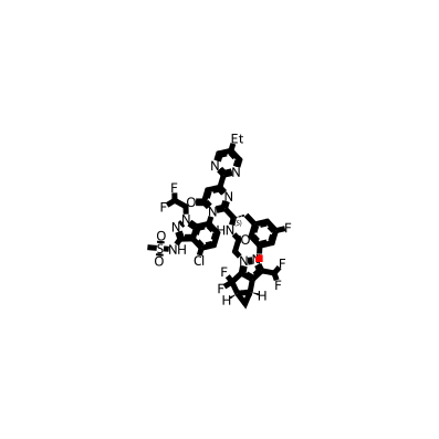 CCc1cnc(-c2cc(=O)n(-c3ccc(Cl)c4c(NS(C)(=O)=O)nn(CC(F)F)c34)c([C@H](Cc3cc(F)cc(F)c3)NC(=O)Cn3nc(C(F)F)c4c3C(F)(F)[C@@H]3C[C@H]43)n2)nc1